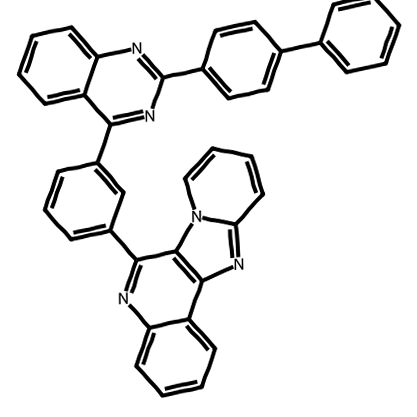 c1ccc(-c2ccc(-c3nc(-c4cccc(-c5nc6ccccc6c6nc7ccccn7c56)c4)c4ccccc4n3)cc2)cc1